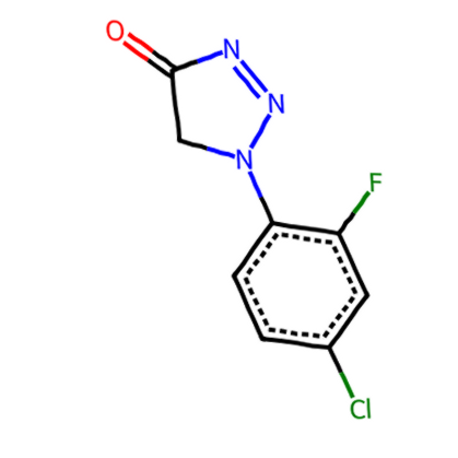 O=C1CN(c2ccc(Cl)cc2F)N=N1